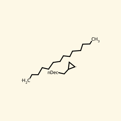 CCCCCCCCCCCC1[CH]C1.[CH2]CCCCCCCCCCCCC